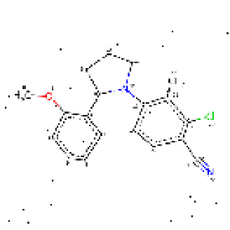 COc1ccccc1C1CCCN1c1ccc(C#N)c(Cl)c1C